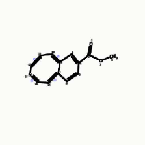 COC(=O)c1ccc2/c(c1)=C\C=C/N=C\C=2